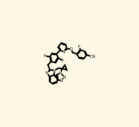 N#Cc1ccc(COc2cccc(-c3cc(F)c(Cc4nc5ccccc5n4CC4(n5ccnn5)CC4)cc3F)n2)c(F)c1